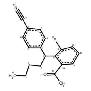 CCCCC(c1ccc(C#N)cc1)c1c(F)cccc1C(=O)O